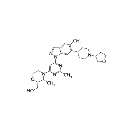 Cc1nc(N2CCOC(CO)C2C)cc(-n2ncc3cc(C)c(C4CCN(C5CCOC5)CC4)cc32)n1